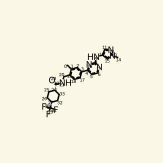 Cc1cc(-c2ccnc(Nc3cnn(C)c3)n2)ccc1CNC(=O)[C@H]1CC[C@H](C(F)(F)F)CC1